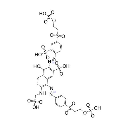 O=S(=O)(O)CNc1ccc2c(O)c(/N=N/c3ccc(S(=O)(=O)CCOS(=O)(=O)O)cc3S(=O)(=O)O)c(S(=O)(=O)O)cc2c1/N=N/c1ccc(S(=O)(=O)CCOS(=O)(=O)O)cc1